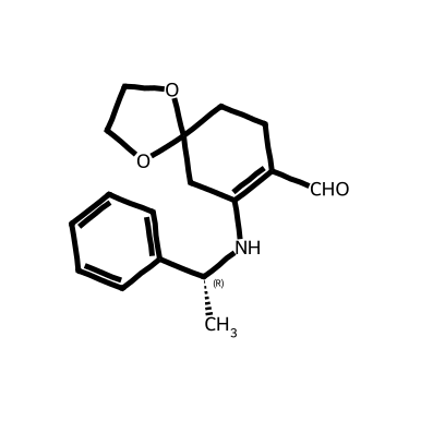 C[C@@H](NC1=C(C=O)CCC2(C1)OCCO2)c1ccccc1